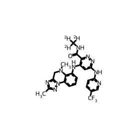 [2H]C([2H])([2H])NC(=O)c1nnc(Nc2ccc(C(F)(F)F)cn2)cc1Nc1cccc2c1N(C)Cc1nc(C)nn1-2